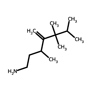 C=C(C(C)CCN)C(C)(C)C(C)C